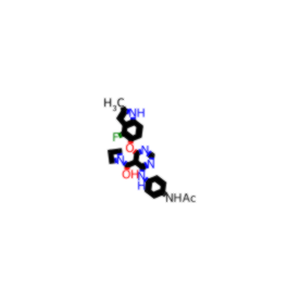 CC(=O)Nc1ccc(NC2=NC=NC(Oc3ccc4[nH]c(C)cc4c3F)C2C(O)N2CCC2)cc1